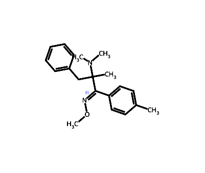 CO/N=C(\c1ccc(C)cc1)C(C)(Cc1ccccc1)N(C)C